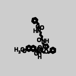 COc1ccc2ccc(S(=O)(=O)NC(COCc3ccccc3)C(=O)N3CCCC3CNC(=O)CCCNC(=O)OCc3ccccc3)cc2c1